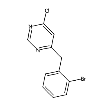 Clc1cc(Cc2ccccc2Br)ncn1